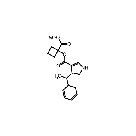 COC(=O)C1(OC(=O)C2=CNCN2[C@H](C)C2C=CC=CC2)CCC1